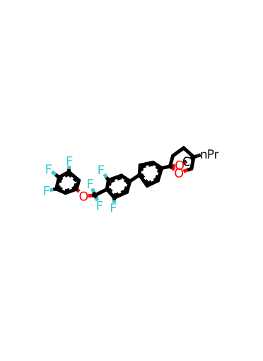 CCCC12CCC(c3ccc(-c4cc(F)c(C(F)(F)Oc5cc(F)c(F)c(F)c5)c(F)c4)cc3)(OC1)OC2